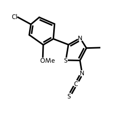 COc1cc(Cl)ccc1-c1nc(C)c(N=C=S)s1